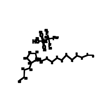 CCCCCCCCCCCN1CCCC1CCCC.O=S(=O)(O)C(F)(F)F